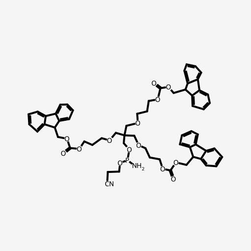 N#CCCOP(N)OCC(COCCCOC(=O)OCC1c2ccccc2-c2ccccc21)(COCCCOC(=O)OCC1c2ccccc2-c2ccccc21)COCCCOC(=O)OCC1c2ccccc2-c2ccccc21